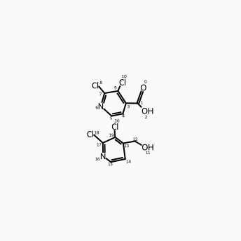 O=C(O)c1ccnc(Cl)c1Cl.OCc1ccnc(Cl)c1Cl